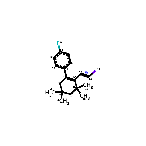 CC1(C)CC(c2ccc(F)cc2)=C(/C=C/I)C(C)(C)C1